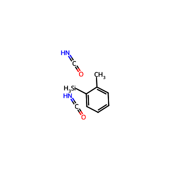 Cc1ccccc1[SiH3].N=C=O.N=C=O